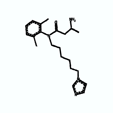 Cc1cccc(C)c1N(CCCCCCn1ccnc1)C(=O)CC(C)N